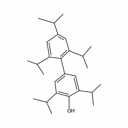 CC(C)c1cc(C(C)C)c(-c2cc(C(C)C)c(O)c(C(C)C)c2)c(C(C)C)c1